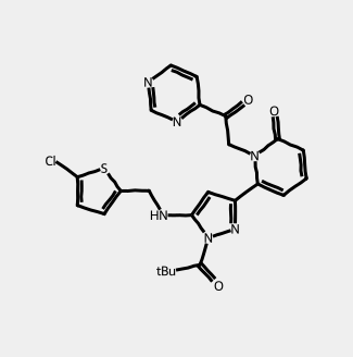 CC(C)(C)C(=O)n1nc(-c2cccc(=O)n2CC(=O)c2ccncn2)cc1NCc1ccc(Cl)s1